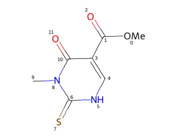 COC(=O)c1c[nH]c(=S)n(C)c1=O